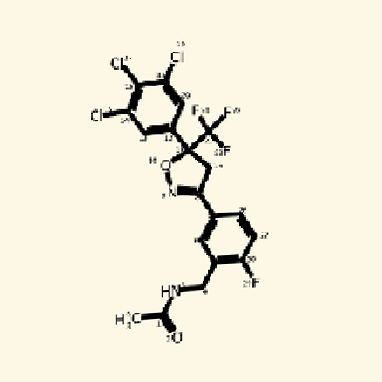 CC(=O)NCc1cc(C2=NOC(c3cc(Cl)c(Cl)c(Cl)c3)(C(F)(F)F)C2)ccc1F